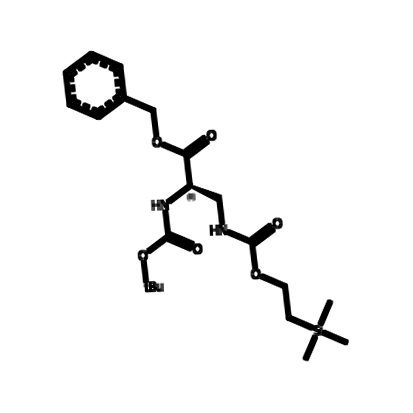 CC(C)(C)OC(=O)N[C@H](CNC(=O)OCC[Si](C)(C)C)C(=O)OCc1ccccc1